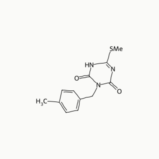 CSc1nc(=O)n(Cc2ccc(C)cc2)c(=O)[nH]1